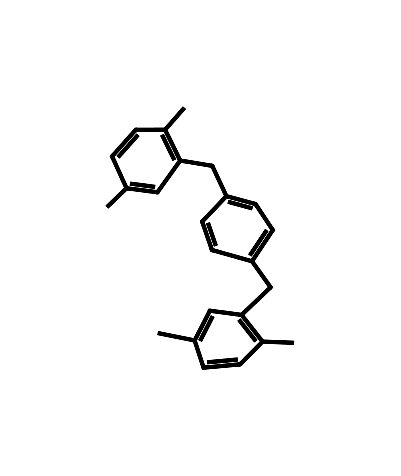 Cc1ccc(C)c(Cc2ccc(Cc3cc(C)ccc3C)cc2)c1